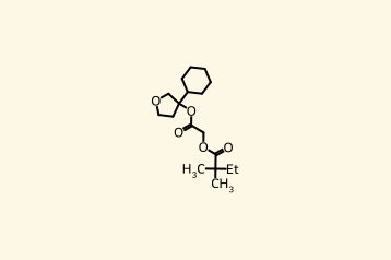 CCC(C)(C)C(=O)OCC(=O)OC1(C2CCCCC2)CCOC1